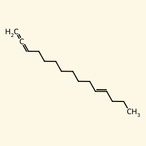 C=C=CCCCCCCCC=CCCC